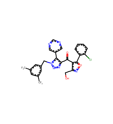 O=C(c1nnn(Cc2cc(C(F)(F)F)cc(C(F)(F)F)c2)c1-c1cncnc1)c1c(CO)noc1-c1ccccc1Cl